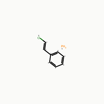 ClC=Cc1ccccc1.P